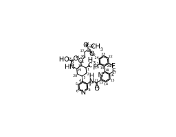 C[C@H]1C[C@@H](c2ccncc2NC(=O)c2ccc(F)c(-c3c(F)cccc3F)n2)C[C@@H](NC(=O)O)[C@H]1OCCS(C)(=O)=O